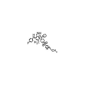 CCCn1cc(S(=O)(=O)N2CCC(C(=O)N3CCCC3)(c3cc(C=N)c(Nc4ccc(F)cc4)cc3C)CC2)cn1